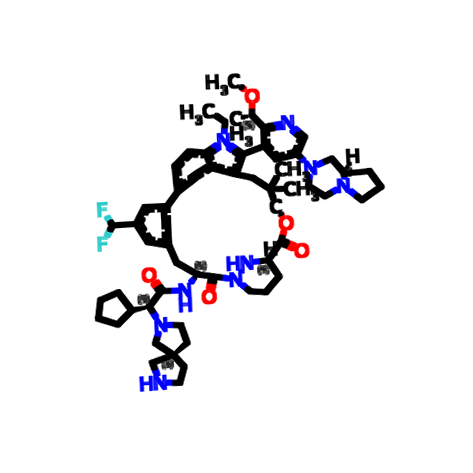 CCn1c(-c2cc(N3CCN4CCC[C@@H]4C3)cnc2[C@H](C)OC)c2c3cc(ccc31)-c1cc(cc(C(F)F)c1)C[C@H](NC(=O)[C@H](C1CCCC1)N1CC[C@]3(CCNC3)C1)C(=O)N1CCC[C@H](N1)C(=O)OCC(C)(C)C2